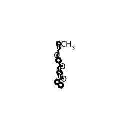 CC1CCCN1CCCOc1ccc(C(=O)CN2CCN(C(=O)c3cccc4ccccc34)CC2)cc1